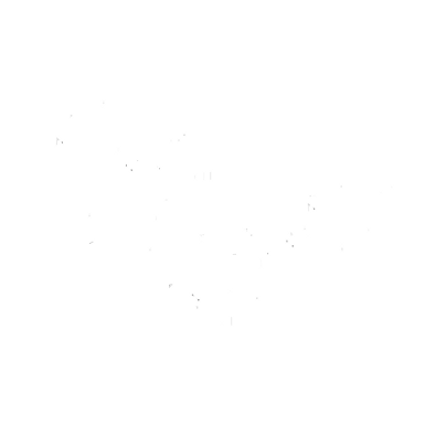 CC1(C)C(=O)N(c2cccnc2)c2cccc(-c3cnc(C(F)(F)F)c(C(=O)Nc4ccc(F)cn4)c3)c21